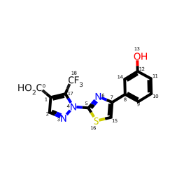 O=C(O)c1cnn(-c2nc(-c3cccc(O)c3)cs2)c1C(F)(F)F